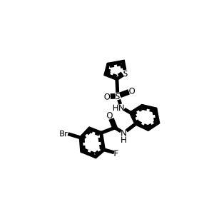 O=C(Nc1ccccc1NS(=O)(=O)c1cccs1)c1cc(Br)ccc1F